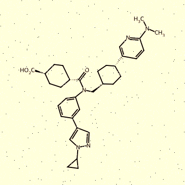 CN(C)c1ccc([C@H]2CC[C@H](CN(c3cccc(-c4cnn(C5CC5)c4)c3)C(=O)[C@H]3CC[C@H](C(=O)O)CC3)CC2)cn1